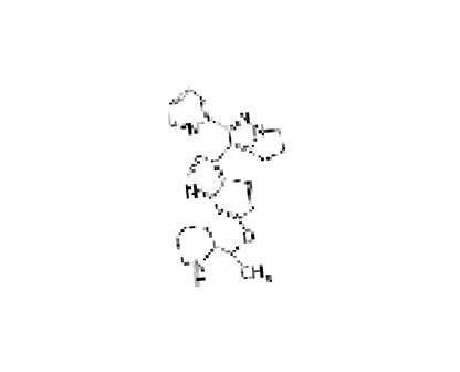 CC(Oc1ccc2c(-c3c(-c4ccccn4)nn4c3CCC4)ccnc2c1)C1CCCCN1